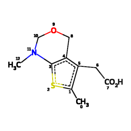 Cc1sc2c(c1CC(=O)O)COCN2C